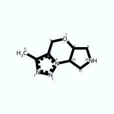 Cc1nnn2c1COC1CNCC12